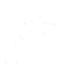 CN(C)Cc1nnc(CNC(=O)OCc2ccccc2)n1-c1ccc(Cl)cc1C(=O)c1ccccc1Cl